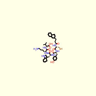 CC(C)[C@H](NC(=O)[C@H](CCCCN)NC(=O)[C@@H](Cc1c[nH]c2ccccc12)NC(=O)[C@H](Cc1ccc(O)cc1)NC(=O)[C@@H](CS)NC(=O)CCc1ccc2ccccc2c1)C(=O)O